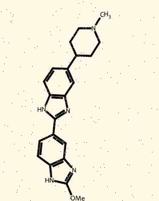 COc1nc2cc(-c3nc4cc(C5CCN(C)CC5)ccc4[nH]3)ccc2[nH]1